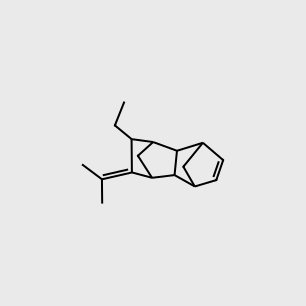 CCC1C(=C(C)C)C2CC1C1C3C=CC(C3)C21